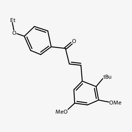 CCOc1ccc(C(=O)C=Cc2cc(OC)cc(OC)c2C(C)(C)C)cc1